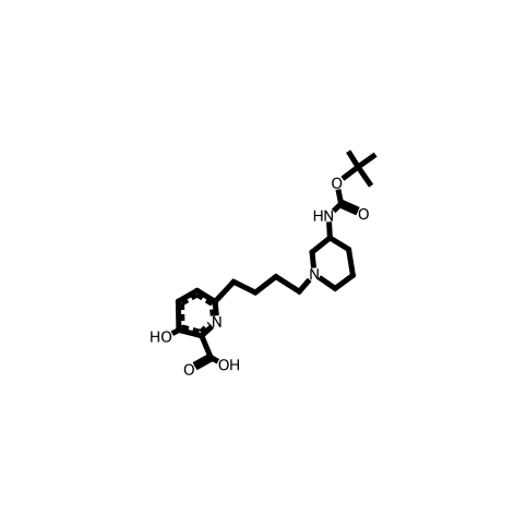 CC(C)(C)OC(=O)NC1CCCN(CCCCc2ccc(O)c(C(=O)O)n2)C1